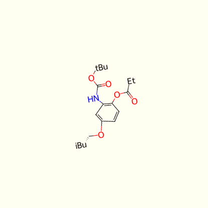 CCC(=O)Oc1ccc(OC[C@@H](C)CC)cc1NC(=O)OC(C)(C)C